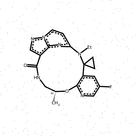 CCN1c2ccn3ncc(c3n2)C(=O)NC[C@@H](C)Oc2ncc(F)cc2C12CC2